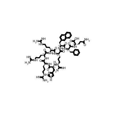 N=C(N)NCCC[C@H](NC(=O)[C@H](CCCNC(=N)N)NC(=O)[C@H](CCCNC(=N)N)NC(=O)[C@H](CCCNC(=N)N)NC(=O)[C@@H](N)Cc1c[nH]cn1)C(=O)N[C@@H](Cc1ccc2ccccc2c1)C(=O)N[C@@H](Cc1ccccc1)C(=O)N[C@@H](CCC(N)=O)C(=O)O